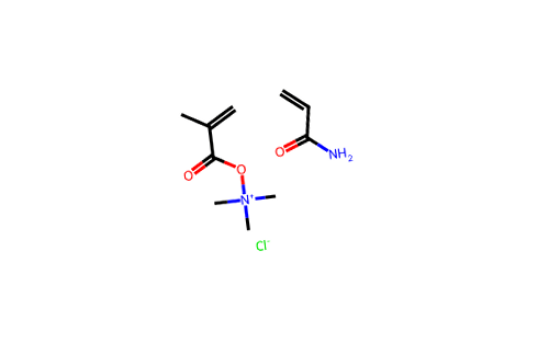 C=C(C)C(=O)O[N+](C)(C)C.C=CC(N)=O.[Cl-]